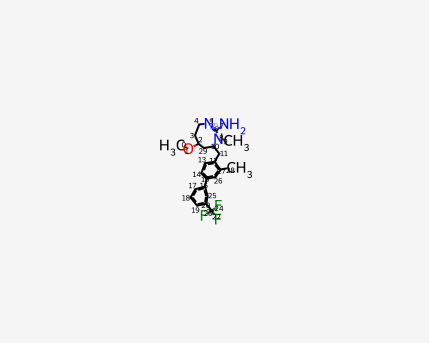 COC1CC/N=C(/N)N(C)C(Cc2ccc(-c3cccc(C(F)(F)F)c3)cc2C)C1